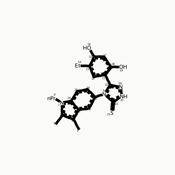 CCCn1c(C)c(C)c2cc(-n3c(-c4cc(CC)c(O)cc4O)n[nH]c3=S)ccc21